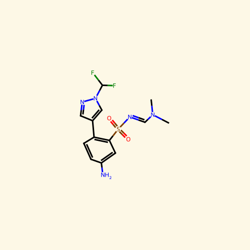 CN(C)/C=N/S(=O)(=O)c1cc(N)ccc1-c1cnn(C(F)F)c1